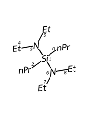 CCC[Si](CCC)(N(CC)CC)N(CC)CC